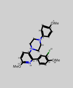 COc1ccc(N2CCN(c3ccc(OC)nc3-c3ccc(OC)c(F)c3)CC2)cc1